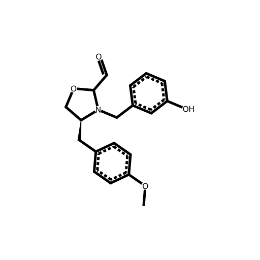 COc1ccc(C[C@H]2COC(C=O)N2Cc2cccc(O)c2)cc1